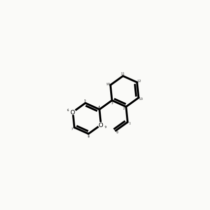 C=CC1=C(C2=COC=CO2)CCC=C1